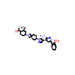 COC(=O)C1CCC(N2CC3(CCC(n4cc(-c5cc(-c6ccccc6O)nnc5N)cn4)CC3)C2)CC1